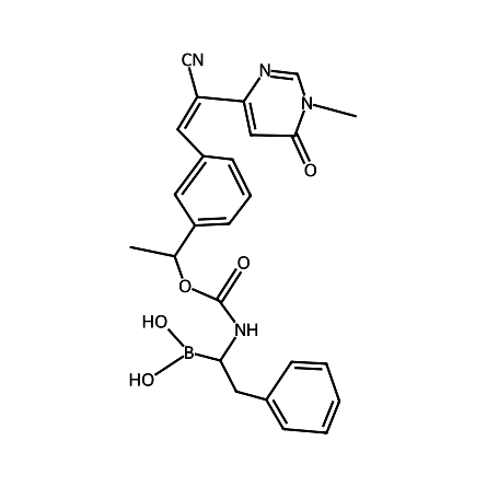 CC(OC(=O)NC(Cc1ccccc1)B(O)O)c1cccc(C=C(C#N)c2cc(=O)n(C)cn2)c1